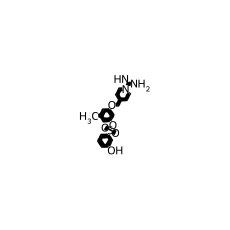 Cc1cc(OCC2CCN(C(=N)N)CC2)cc(OS(=O)(=O)c2cccc(O)c2)c1